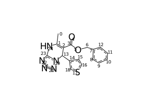 CC1=C(C(=O)OCc2ccccc2)C(c2ccsc2)n2nnnc2N1